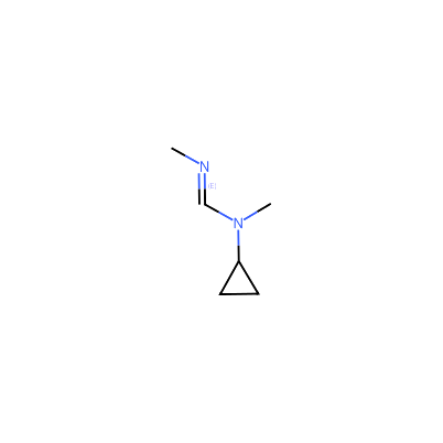 C/N=C/N(C)C1CC1